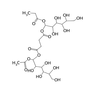 CCC(=O)OC(OC(=O)CCC(=O)OC(OC(C)=O)C(O)C(O)C(O)C(O)CO)C(O)C(O)C(O)C(O)CO